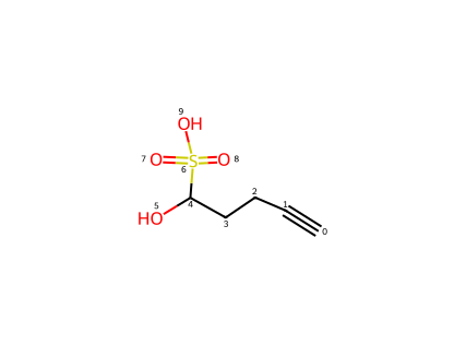 C#CCCC(O)S(=O)(=O)O